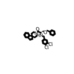 O=C([C@H](COCc1ccccc1)NCc1ccc(Cl)c(Cl)c1)N1CCC2(C=Cc3ccccc32)CC1